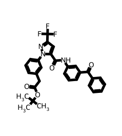 CC(C)(C)OC(=O)Cc1cccc(-n2nc(C(F)(F)F)cc2C(=O)Nc2cccc(C(=O)c3ccccc3)c2)c1